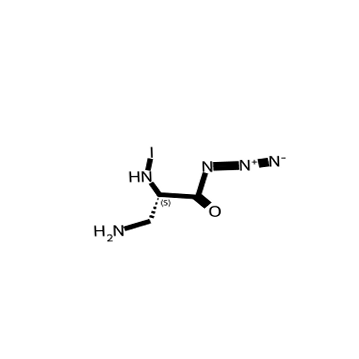 [N-]=[N+]=NC(=O)[C@H](CN)NI